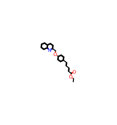 CCOC(=O)/C=C/C=C/c1ccc(OCc2ccc3ccccc3n2)cc1